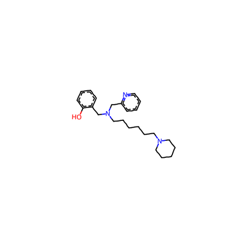 Oc1ccccc1CN(CCCCCCN1CCCCC1)Cc1ccccn1